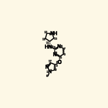 Cn1cc(Oc2ccnc(N[C@@H]3CCNC3)n2)cn1